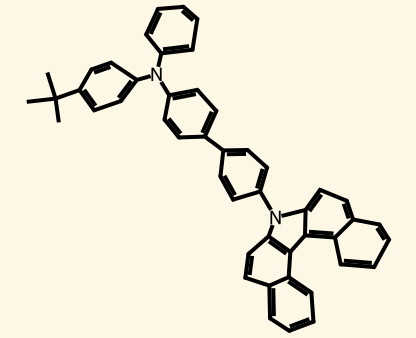 CC(C)(C)c1ccc(N(c2ccccc2)c2ccc(-c3ccc(-n4c5ccc6ccccc6c5c5c6ccccc6ccc54)cc3)cc2)cc1